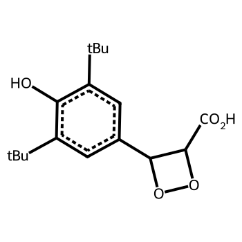 CC(C)(C)c1cc(C2OOC2C(=O)O)cc(C(C)(C)C)c1O